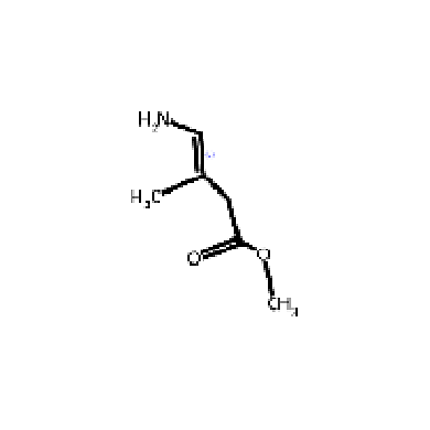 COC(=O)C/C(C)=C/N